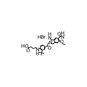 Br.CCOc1cc2c(cc1C(=O)NC)C(=N)N(CC(=O)c1ccc(NCCCC(=O)O)c(C(C)(C)C)c1)C2